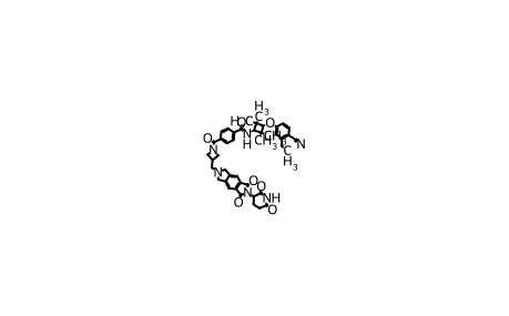 CCc1cc(O[C@H]2C(C)(C)[C@H](NC(=O)c3ccc(C(=O)N4CC(CN5Cc6cc7c(cc6C5)C(=O)N(C5CCC(=O)NC5=O)C7=O)C4)cc3)C2(C)C)ccc1C#N